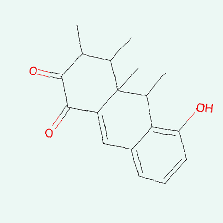 CC1C(=O)C(=O)C2=Cc3cccc(O)c3C(C)C2(C)C1C